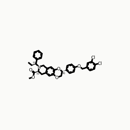 CC[C@@H](c1ccccc1)N1Cc2cc3c(cc2C[C@H]1C(=O)OC)OC[C@@H](c1ccc(OCc2ccc(Cl)c(Cl)c2)cc1)O3